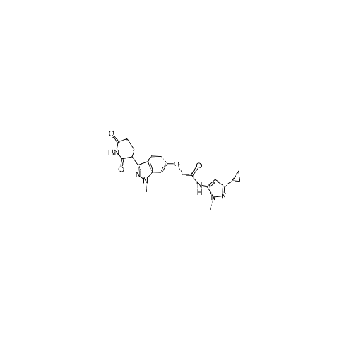 Cn1nc(C2CC2)cc1NC(=O)COc1ccc2c(C3CCC(=O)NC3=O)nn(C)c2c1